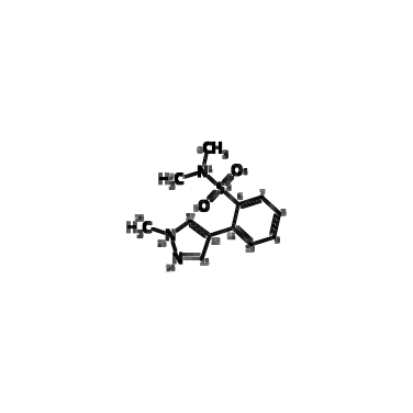 CN(C)S(=O)(=O)c1ccccc1-c1cnn(C)c1